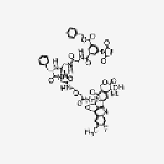 CC[C@@]1(O)C(=O)OCc2c1cc1n(c2=O)C2c3c-1nc1cc(F)c(C)cc1c3C1C[C@]12NC(=O)COCNC(=O)CNC(=O)[C@H](Cc1ccccc1)NC(=O)CNC(=O)CNC(=O)c1cc(C(=O)OCc2ccccc2)cc(N2C(=O)C=CC2=O)c1